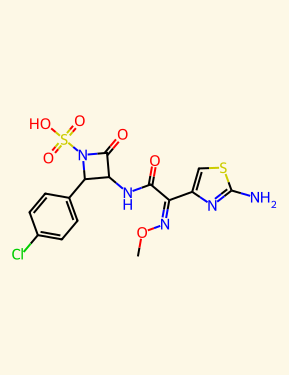 CON=C(C(=O)NC1C(=O)N(S(=O)(=O)O)C1c1ccc(Cl)cc1)c1csc(N)n1